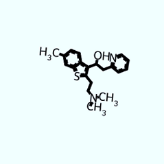 Cc1ccc2c(C(O)Cc3ccccn3)c(CCN(C)C)sc2c1